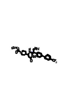 CC(C)(C)OC(=O)N1CCC(C2=CC(=O)N/C(=C(/C=N)c3ccc(-c4ccc(C(F)(F)F)cc4)cc3)N2)CC1